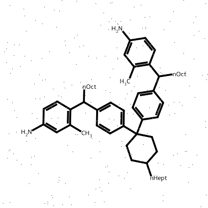 CCCCCCCCC(c1ccc(C2(c3ccc(C(CCCCCCCC)c4ccc(N)cc4C)cc3)CCC(CCCCCCC)CC2)cc1)c1ccc(N)cc1C